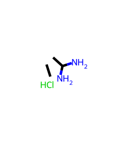 CC.CC(N)N.Cl